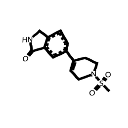 CS(=O)(=O)N1CC=C(c2ccc3c(c2)C(=O)NC3)CC1